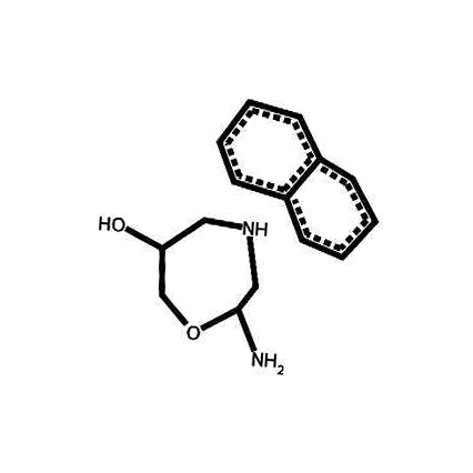 NC1CNCC(O)CO1.c1ccc2ccccc2c1